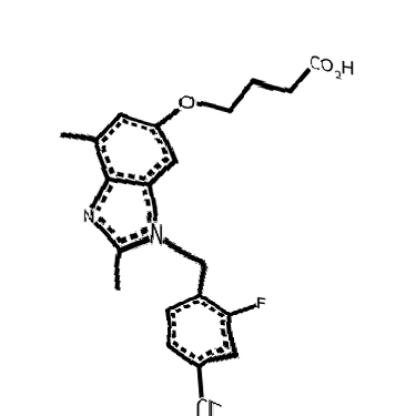 Cc1cc(OCCCC(=O)O)cc2c1nc(C)n2Cc1ccc(C(F)(F)F)cc1F